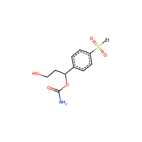 CCS(=O)(=O)c1ccc(C(CCO)OC(N)=O)cc1